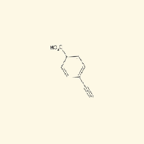 [C]#Cc1ccc(C(=O)O)cc1